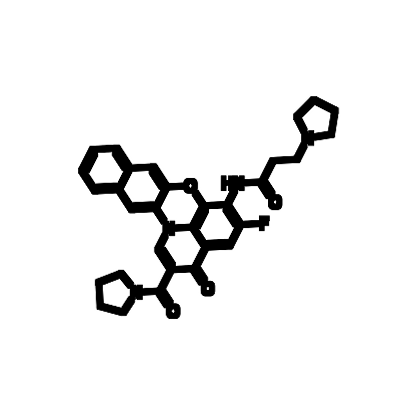 O=C(CCN1CCCC1)Nc1c(F)cc2c(=O)c(C(=O)N3CCCC3)cn3c2c1Oc1cc2ccccc2cc1-3